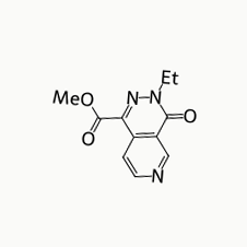 CCn1nc(C(=O)OC)c2ccncc2c1=O